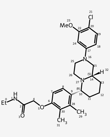 CCNC(=O)COc1ccc([C@H]2CCC[C@H]3CN(c4ccc(Cl)c(OC)c4)CCN32)c(C)c1C